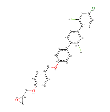 Fc1cc(Cl)ccc1-c1ccc(-c2ccc(OCc3ccc(OCC4CO4)cc3)cc2)c(F)c1